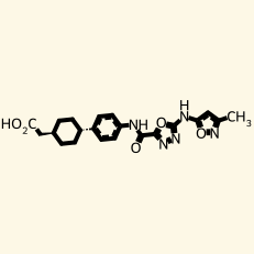 Cc1cc(Nc2nnc(C(=O)Nc3ccc([C@H]4CC[C@H](CC(=O)O)CC4)cc3)o2)on1